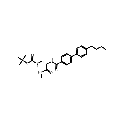 CCCCc1ccc(-c2ccc(C(=O)N[C@@H](CNC(=O)OC(C)(C)C)C(=O)NC)cc2)cc1